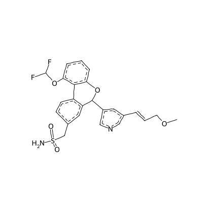 COCC=Cc1cncc(C2Oc3cccc(OC(F)F)c3-c3ccc(CS(N)(=O)=O)cc32)c1